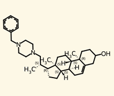 C[C@H](CN1CCN(Cc2ccccc2)CC1)[C@H]1CC[C@H]2[C@@H]3CC=C4CC(O)CC[C@]4(C)[C@H]3CC[C@]12C